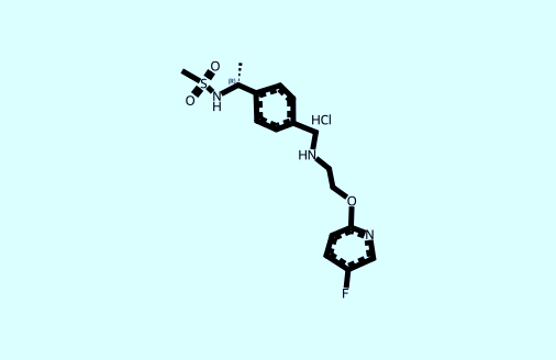 C[C@@H](NS(C)(=O)=O)c1ccc(CNCCOc2ccc(F)cn2)cc1.Cl